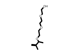 C=C(C)C(C)OCCOCCOCCO